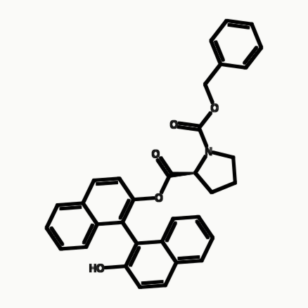 O=C(Oc1ccc2ccccc2c1-c1c(O)ccc2ccccc12)[C@@H]1CCCN1C(=O)OCc1ccccc1